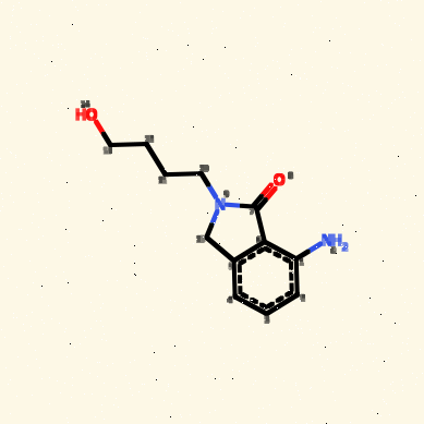 Nc1cccc2c1C(=O)N(CCCCO)C2